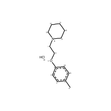 Cc1ccc(OCCN2CCCCC2)cc1.Cl